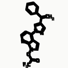 C=C(c1ccccc1)c1cnn(-c2ccnc3c2ccn3OC(=O)C(F)(F)F)c1